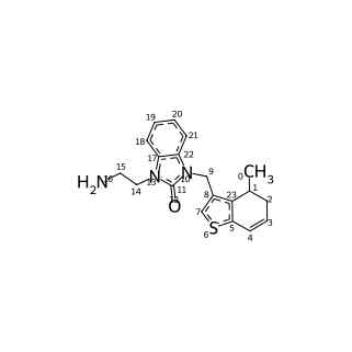 CC1CC=Cc2scc(Cn3c(=O)n(CCN)c4ccccc43)c21